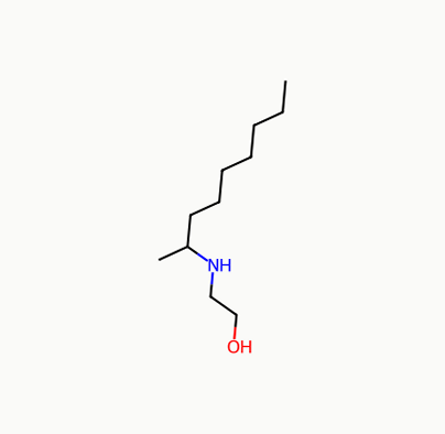 CCCCCCCC(C)NCCO